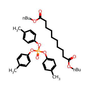 CCCCOC(=O)CCCCCCCCC(=O)OCCCC.Cc1ccc(OP(=O)(Oc2ccc(C)cc2)Oc2ccc(C)cc2)cc1